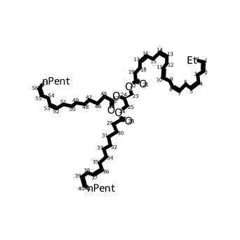 CC/C=C\C/C=C\C/C=C\C/C=C\C/C=C\C/C=C\CCC(=O)OC[C@@H](COC(=O)CCCCCCC/C=C\C/C=C\CCCCC)OC(=O)CCCCCCC/C=C\C/C=C\CCCCC